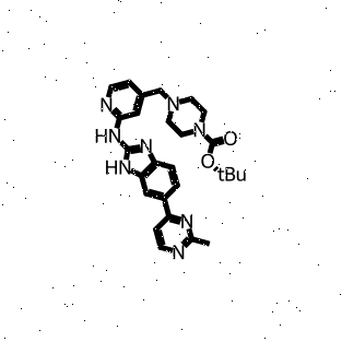 Cc1nccc(-c2ccc3nc(Nc4cc(CN5CCN(C(=O)OC(C)(C)C)CC5)ccn4)[nH]c3c2)n1